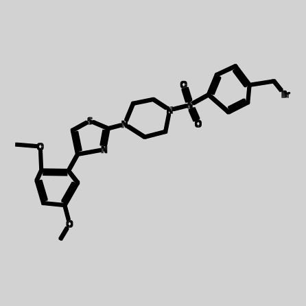 COc1ccc(OC)c(-c2csc(N3CCN(S(=O)(=O)c4ccc(CBr)cc4)CC3)n2)c1